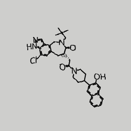 CC(C)(C)CN1Cc2c(cc(Cl)c3[nH]ncc23)C[C@@H](CC(=O)N2CCC(c3cc4ccccc4cc3O)CC2)C1=O